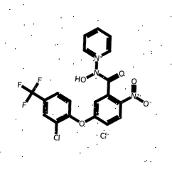 O=C(c1cc(Oc2ccc(C(F)(F)F)cc2Cl)ccc1[N+](=O)[O-])N(O)[n+]1ccccc1.[Cl-]